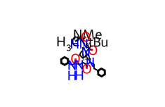 CN[C@@H](C)C(=O)N[C@H](C(=O)N1CCC[C@H]1CN(CCc1ccccc1)C(=O)CNC(=O)Nc1ccccc1)C(C)(C)C